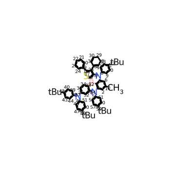 Cc1cc2c3c(c1)N(c1ccc(C(C)(C)C)cc1)c1c(sc(-c4ccccc4)c1C1=CCCC=C1)B3c1ccc(N(c3ccc(C(C)(C)C)cc3)c3ccc(C(C)(C)C)cc3)cc1N2c1ccc(C(C)(C)C)cc1